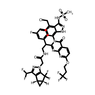 CS(=O)(=O)Nc1n[nH]c2c(-n3c(C(CNC(=O)Cn4nc(C(F)F)c5c4C(F)(F)[C@@H]4C[C@H]54)c4cc(F)cc(F)c4)nc4nc(OCCC(F)(F)F)ccc4c3=O)ccc(CCl)c12